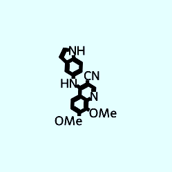 COc1ccc2c(Nc3ccc4[nH]ccc4c3)c(C#N)cnc2c1OC